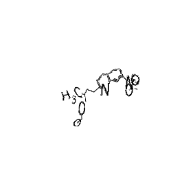 CC(CCc1ccc2ccc([N+](=O)[O-])cc2n1)COC=O